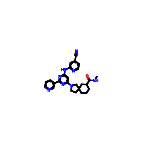 CNC(=O)C1CCCC2(CCN(c3cc(Nc4cc(C#N)ccn4)nc(-c4cccnc4)n3)C2)C1